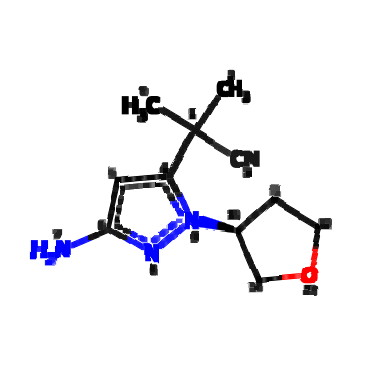 CC(C)(C#N)c1cc(N)nn1[C@H]1CCOC1